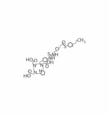 CCCc1ccc(SC(=O)CCOCCNC(=S)Nc2ccc(CC3CN(CC(=O)O)CCN(CC(=O)O)Cc4cccc(n4)CN3CC(=O)O)cc2)cc1